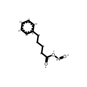 O=NOC(=O)CCCCc1ccccc1